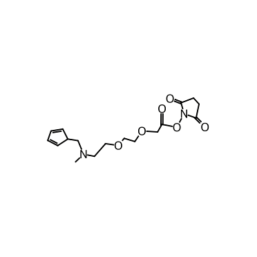 CN(CCOCCOCC(=O)ON1C(=O)CCC1=O)CC1C=CC=C1